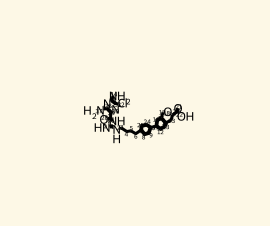 N=C(NCCCCc1ccc(-c2ccc3c(c2)COC(C(=O)O)C3)cc1)NC(=O)c1nc(Cl)c(N)nc1N